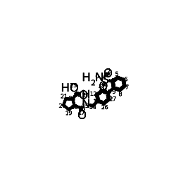 NS(=O)(=O)c1ccccc1-c1ccc(CNC(=O)C2CCCC2C(=O)O)cc1